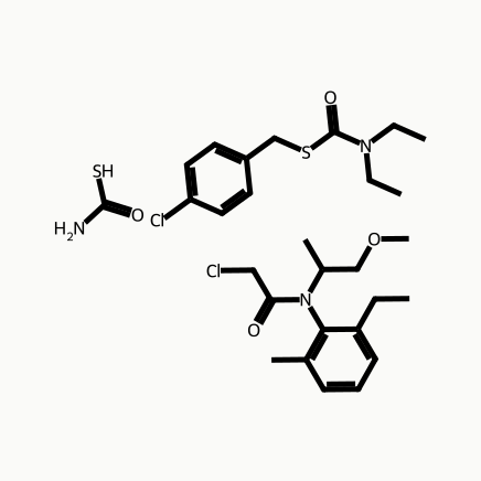 CCN(CC)C(=O)SCc1ccc(Cl)cc1.CCc1cccc(C)c1N(C(=O)CCl)C(C)COC.NC(=O)S